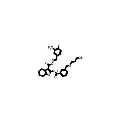 O=C(Nc1sc2c(c1C(=O)NN=Cc1ccc(Cl)c(C(F)(F)F)c1)CCCC2)c1cccc(CSCCCO)c1